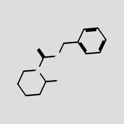 CC(=O)OC1CCCCN1C(=O)OCc1ccccc1